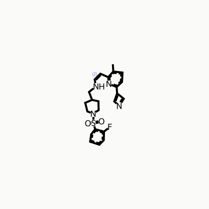 Cc1ccc(C2=CN=C2)nc1/C=C\NCC1CCN(S(=O)(=O)c2ccccc2F)CC1